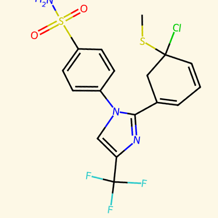 CSC1(Cl)C=CC=C(c2nc(C(F)(F)F)cn2-c2ccc(S(N)(=O)=O)cc2)C1